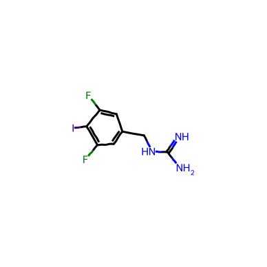 N=C(N)NCc1cc(F)c(I)c(F)c1